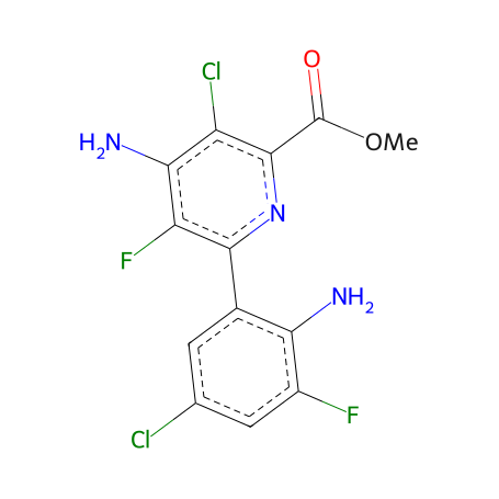 COC(=O)c1nc(-c2cc(Cl)cc(F)c2N)c(F)c(N)c1Cl